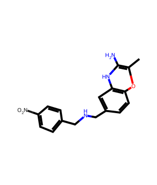 CC1=C(N)Nc2cc(CNCc3ccc([N+](=O)[O-])cc3)ccc2O1